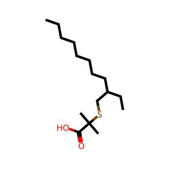 CCCCCCCCC(CC)CSC(C)(C)C(=O)O